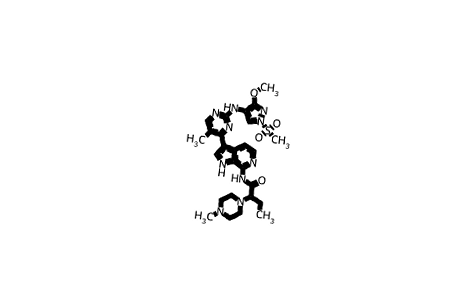 CCC(C(=O)Nc1nccc2c(-c3nc(Nc4cn(S(C)(=O)=O)nc4OC)ncc3C)c[nH]c12)N1CCN(C)CC1